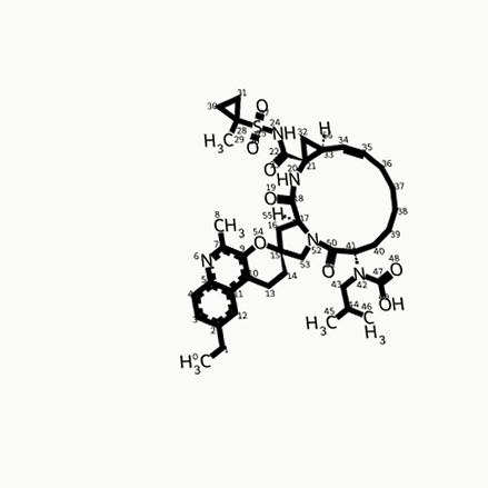 CCc1ccc2nc(C)c3c(c2c1)CC[C@]1(C[C@H]2C(=O)N[C@]4(C(=O)NS(=O)(=O)C5(C)CC5)C[C@H]4/C=C\CCCCC[C@H](N(CC(C)C)C(=O)O)C(=O)N2C1)O3